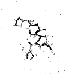 Cc1cc(NC2CCCC2)ncc1-c1sc(C=O)nc1C(=O)N1CCC[C@@H]1C